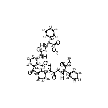 COC(=O)[C@@H](NCC(=O)Nc1cccc2c1C(=O)c1c(NC(=O)CN[C@@H](C(=O)OC)c3ccccc3)cccc1C2=O)c1ccccc1